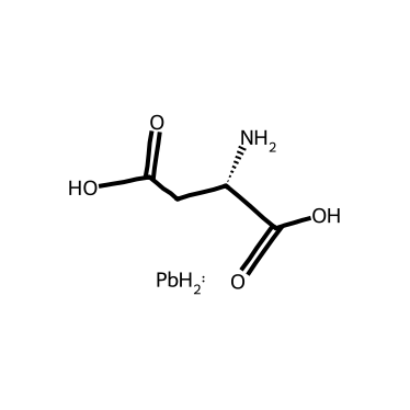 N[C@@H](CC(=O)O)C(=O)O.[PbH2]